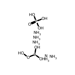 N.N.N.N.N.O=P(O)(O)O.OOB(O)O